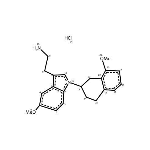 COc1ccc2c(c1)c(CCN)cn2C1CCc2cccc(OC)c2C1.Cl